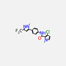 Cn1ccc(Cl)c1C(=O)Nc1ccc(-c2cc(C(F)(F)F)nn2C)cc1